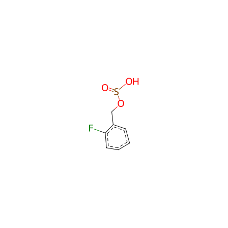 O=S(O)OCc1ccccc1F